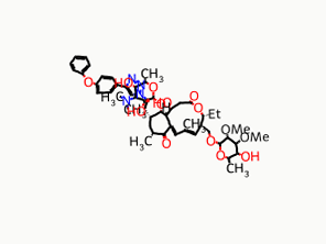 CC[C@H]1OC(=O)C[C@@H](O)[C@@H]2/C(=C\C(C)=C\[C@@H]1COC1OC(C)C(O)C(OC)C1OC)C(=O)[C@H](C)C[C@H](CCn1cc(-c3ccc(Oc4ccccc4)cc3)nn1)[C@@H]2O[C@@H]1O[C@H](C)C(O)C(N(C)C)C1O